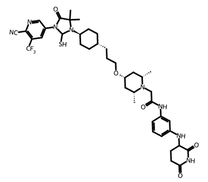 C[C@@H]1C[C@H](OCCC[C@H]2CC[C@H](N3C(S)N(c4cnc(C#N)c(C(F)(F)F)c4)C(=O)C3(C)C)CC2)C[C@H](C)N1CC(=O)Nc1cccc(NC2CCC(=O)NC2=O)c1